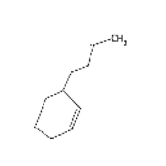 C[CH]CCC1C=CCCC1